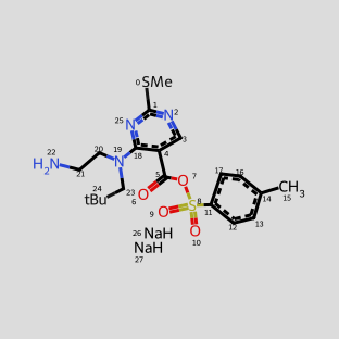 CSc1ncc(C(=O)OS(=O)(=O)c2ccc(C)cc2)c(N(CCN)CC(C)(C)C)n1.[NaH].[NaH]